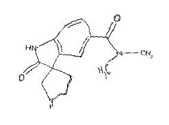 CN(C)C(=O)c1ccc2c(c1)C1(CCNC1)C(=O)N2